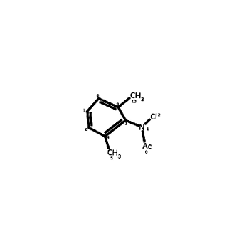 CC(=O)N(Cl)c1c(C)cccc1C